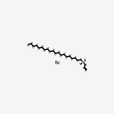 C=CC[N+](C)(C)CCCCCCCCCCCCCCCCCCCC.[Br-]